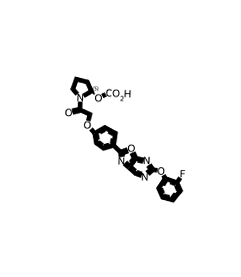 O=C(O)O[C@H]1CCCN1C(=O)COc1ccc(-c2nc3cnc(Oc4ccccc4F)nc3o2)cc1